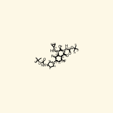 CC(C)(C)OC(=O)N[C@H]1CCN(c2cc(F)c3c(=O)n(NC(=O)OC(C)(C)C)c(=O)n(NC4CC4)c3c2F)C1